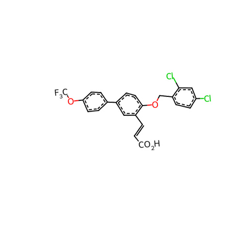 O=C(O)/C=C/c1cc(-c2ccc(OC(F)(F)F)cc2)ccc1OCc1ccc(Cl)cc1Cl